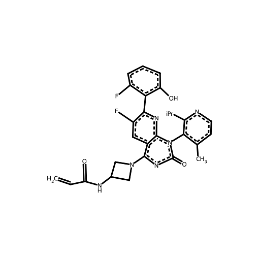 C=CC(=O)NC1CN(c2nc(=O)n(-c3c(C)ccnc3C(C)C)c3nc(-c4c(O)cccc4F)c(F)cc23)C1